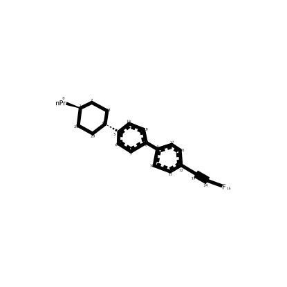 CCC[C@H]1CC[C@H](c2ccc(-c3ccc(C#CF)cc3)cc2)CC1